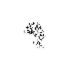 CN(Cc1cc(O)c2c(c1F)C[C@H]1C[C@H]3[C@H](N(C)C)C(O)=C(C(N)=O)C(=O)[C@@]3(O)C(O)=C1C2=O)C(=O)C1CC1